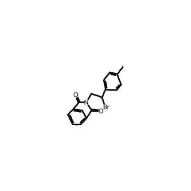 Cc1ccc(C(Br)CN2C(=O)c3cccc(c3)C2=O)cc1